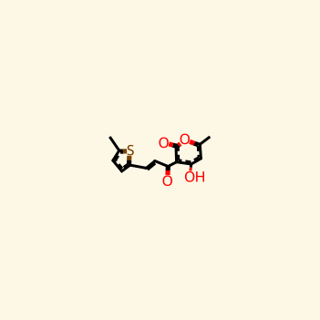 Cc1cc(O)c(C(=O)C=Cc2ccc(C)s2)c(=O)o1